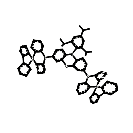 CC(C)c1cc(C(C)C)c(B2c3ccc(N4c5ccccc5[Si]5(c6ccccc6-c6ccccc65)c5ccccc54)cc3Oc3cc(N4c5ccccc5[Si]5(c6ccccc6-c6ccccc65)c5ccccc54)ccc32)c(C(C)C)c1